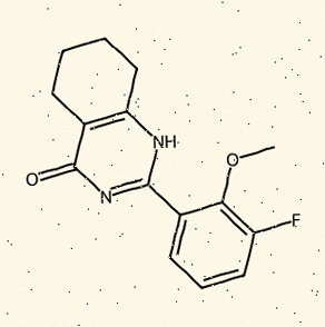 COc1c(F)cccc1-c1nc(=O)c2c([nH]1)CCCC2